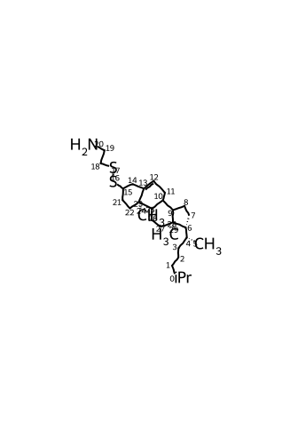 CC(C)CCC[C@@H](C)[C@H]1CCC2C3CC=C4CC(SSCCN)CC[C@]4(C)C3CC[C@@]21C